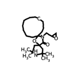 CC1(C)CC2(CC(C)(C)N1)OC1(CCCCCCCCCCC1)N(CC1CO1)C2=O